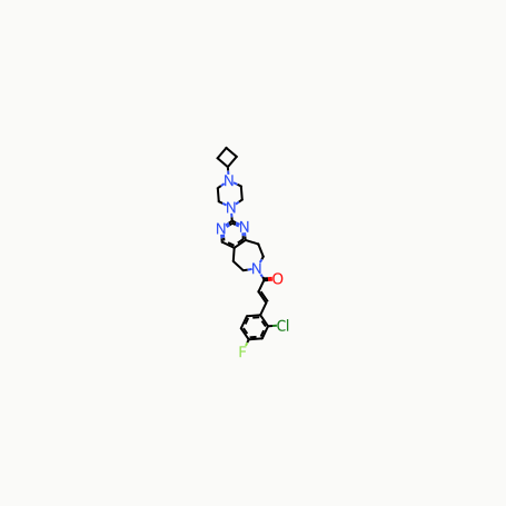 O=C(/C=C/c1ccc(F)cc1Cl)N1CCc2cnc(N3CCN(C4CCC4)CC3)nc2CC1